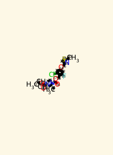 CC[C@@H]1CN(C(=O)OC(C)(C)C)CCN1C(=O)OCc1c(F)cc(OCc2csc(C)n2)cc1Cl